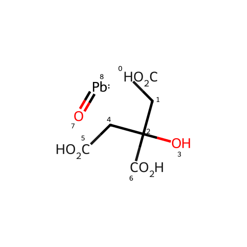 O=C(O)CC(O)(CC(=O)O)C(=O)O.[O]=[Pb]